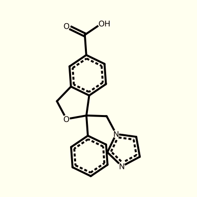 O=C(O)c1ccc2c(c1)COC2(Cn1ccnc1)c1ccccc1